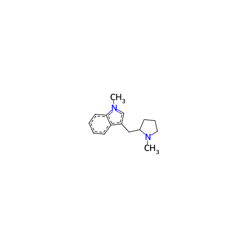 CN1CCCC1Cc1cn(C)c2ccccc12